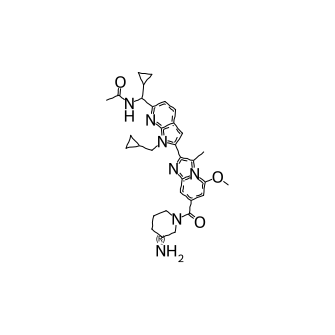 COc1cc(C(=O)N2CCC[C@@H](N)C2)cc2nc(-c3cc4ccc(C(NC(C)=O)C5CC5)nc4n3CC3CC3)c(C)n12